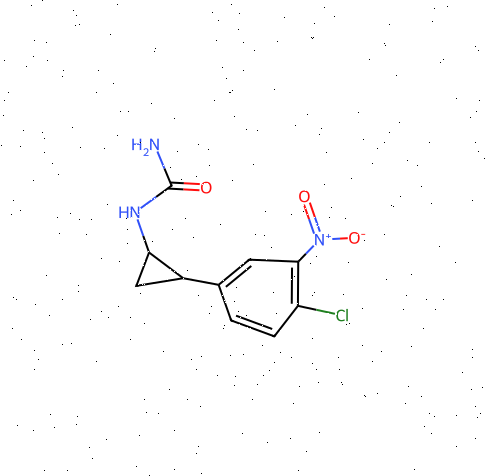 NC(=O)NC1CC1c1ccc(Cl)c([N+](=O)[O-])c1